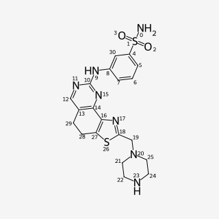 NS(=O)(=O)c1cccc(Nc2ncc3c(n2)-c2nc(CN4CCNCC4)sc2CC3)c1